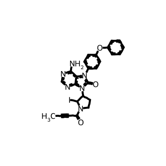 CC#CC(=O)N1CCC(n2c(=O)n(-c3ccc(Oc4ccccc4)cc3)c3c(N)ncnc32)C1I